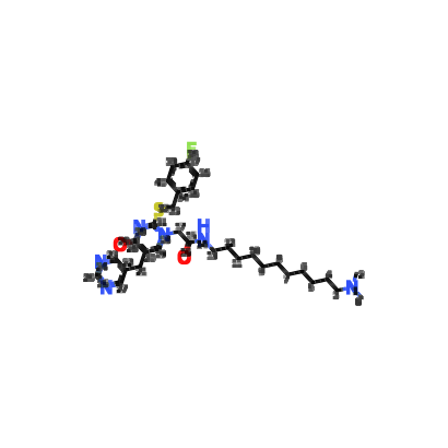 CN(C)CCCCCCCCCCCNC(=O)Cn1cc(Cc2cncnc2)c(=O)nc1SCc1ccc(F)cc1